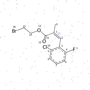 C/C(=C/c1c(F)cccc1Cl)C(=O)OCCBr